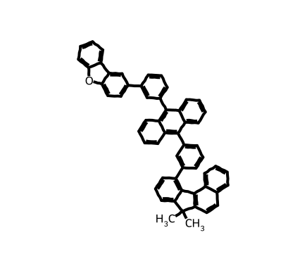 CC1(C)c2cccc(-c3cccc(-c4c5ccccc5c(-c5cccc(-c6ccc7oc8ccccc8c7c6)c5)c5ccccc45)c3)c2-c2c1ccc1ccccc21